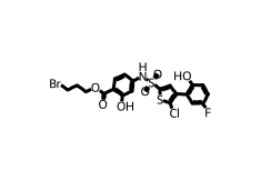 O=C(OCCCBr)c1ccc(NS(=O)(=O)c2cc(-c3cc(F)ccc3O)c(Cl)s2)cc1O